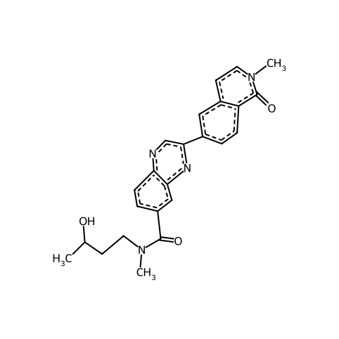 CC(O)CCN(C)C(=O)c1ccc2ncc(-c3ccc4c(=O)n(C)ccc4c3)nc2c1